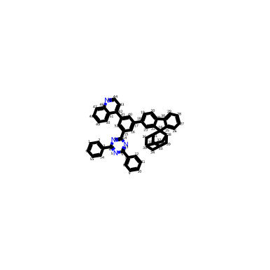 c1ccc(-c2nc(-c3ccccc3)nc(-c3cc(-c4ccc5c(c4)C4(c6ccccc6-5)C5CC6CC(C5)CC4C6)cc(-c4ccnc5ccccc45)c3)n2)cc1